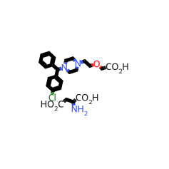 NC(CC(=O)O)C(=O)O.O=C(O)COCCN1CCN(C(c2ccccc2)c2ccc(Cl)cc2)CC1